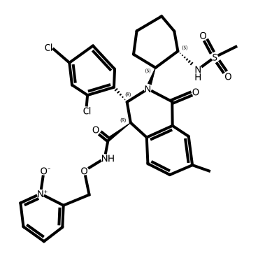 Cc1ccc2c(c1)C(=O)N([C@H]1CCCC[C@@H]1NS(C)(=O)=O)[C@@H](c1ccc(Cl)cc1Cl)[C@@H]2C(=O)NOCc1cccc[n+]1[O-]